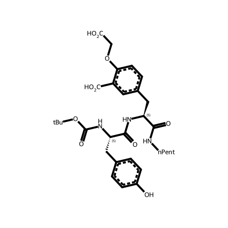 CCCCCNC(=O)[C@H](Cc1ccc(OCC(=O)O)c(C(=O)O)c1)NC(=O)[C@H](Cc1ccc(O)cc1)NC(=O)OC(C)(C)C